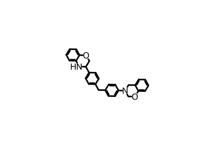 c1ccc2c(c1)CN(c1ccc(Cc3ccc(C4COc5ccccc5N4)cc3)cc1)CO2